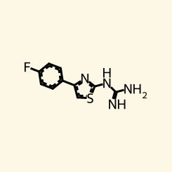 N=C(N)Nc1nc(-c2ccc(F)cc2)cs1